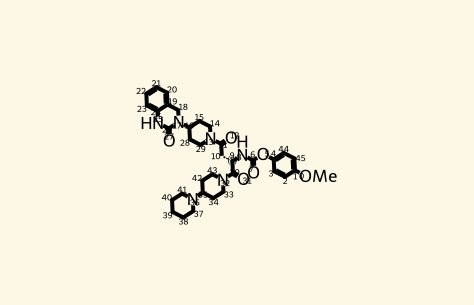 COc1ccc(OC(=O)N[C@@H](CC(=O)N2CCC(N3Cc4ccccc4NC3=O)CC2)C(=O)N2CCC(N3CCCCC3)CC2)cc1